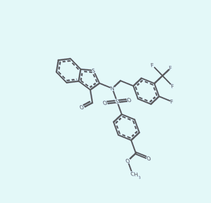 COC(=O)c1ccc(S(=O)(=O)N(Cc2ccc(F)c(C(F)(F)F)c2)c2sc3ccccc3c2C=O)cc1